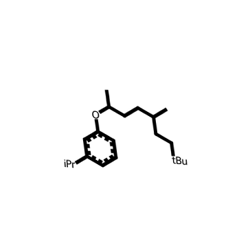 CC(CCC(C)Oc1cccc(C(C)C)c1)CCC(C)(C)C